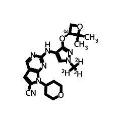 [2H]C([2H])([2H])n1cc(Nc2ncc3cc(C#N)n(C4CCOCC4)c3n2)c(O[C@H]2COC2(C)C)n1